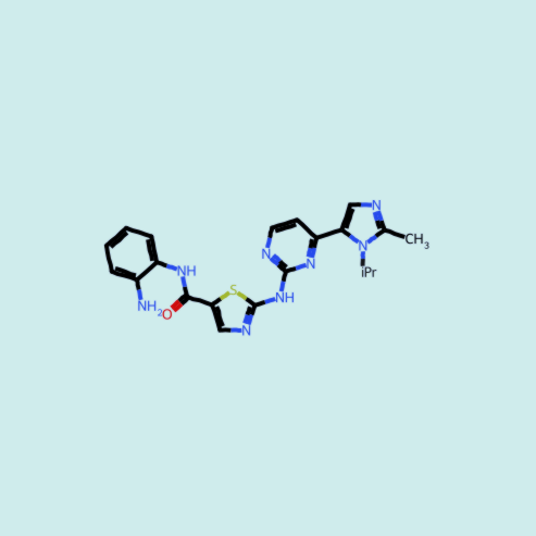 Cc1ncc(-c2ccnc(Nc3ncc(C(=O)Nc4ccccc4N)s3)n2)n1C(C)C